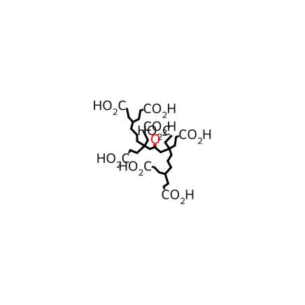 O=C(O)CCC(CCCC(CCC(=O)O)(CCC(=O)O)CC(=O)CC(CCCC(CCC(=O)O)CCC(=O)O)(CCC(=O)O)CCC(=O)O)CCC(=O)O